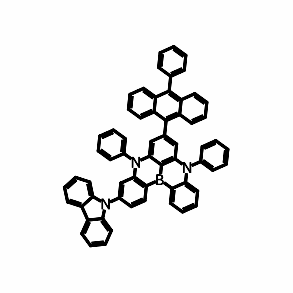 c1ccc(-c2c3ccccc3c(-c3cc4c5c(c3)N(c3ccccc3)c3cc(-n6c7ccccc7c7ccccc76)ccc3B5c3ccccc3N4c3ccccc3)c3ccccc23)cc1